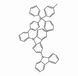 Cc1ccc([Si](c2ccccc2)(c2ccccc2)c2ccc(-c3ccccc3-n3c4ccccc4c4cc(-n5c6ccccc6c6ccccc65)ccc43)cc2)cc1